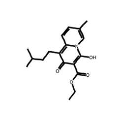 CCOC(=O)c1c(O)n2cc(C)ccc2c(CCC(C)C)c1=O